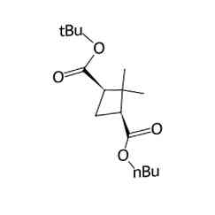 CCCCOC(=O)[C@H]1C[C@@H](C(=O)OC(C)(C)C)C1(C)C